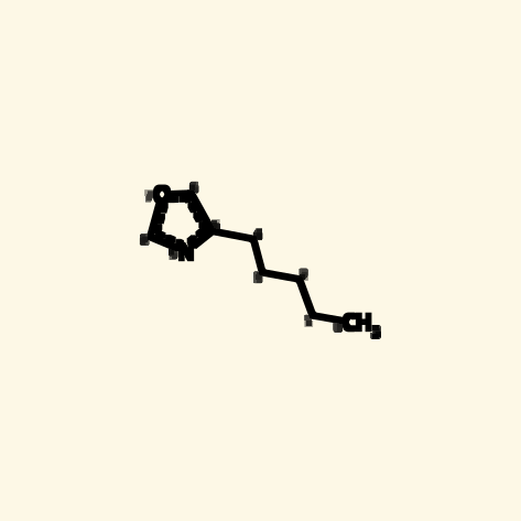 CCCCCc1cocn1